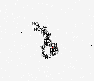 C=C1C[C@@H]2CC[C@]34C[C@@H]5O[C@H]6[C@@H](O3)[C@H]3O[C@H](CC[C@@H]3O[C@H]6[C@@H]5O4)CC(=O)O[C@@H]3[C@@H](C)[C@@H]4O[C@@H]5C[C@]6(C[C@@H]7O[C@]8(C[C@H](C)[C@@H]9C[C@H]([C@@H](O)C[C@@H](O)CO)C[C@@H]9O8)C[C@H](C)[C@@H]7O6)O[C@@H]5C[C@@H]4O[C@H]3C[C@H]3OC(CC[C@@H]1O2)C[C@@H](C)C3=C